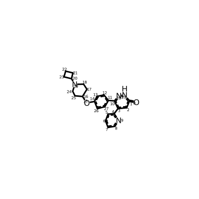 O=c1cc(-c2ccccn2)c(-c2ccc(OC3CCN(C4CCC4)CC3)cc2)n[nH]1